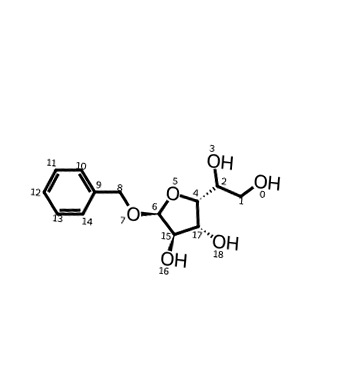 OCC(O)[C@H]1O[C@H](OCc2ccccc2)[C@H](O)[C@H]1O